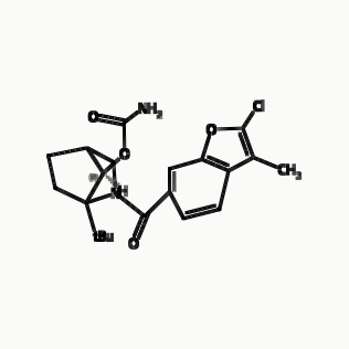 Cc1c(Cl)oc2cc(C(=O)N3CC4CCC3(C(C)(C)C)[C@@H]4OC(N)=O)ccc12